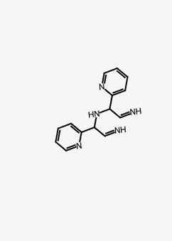 N=CC(NC(C=N)c1ccccn1)c1ccccn1